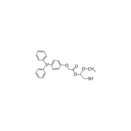 COC(CS)OC(=O)COc1ccc([S+](c2ccccc2)c2ccccc2)cc1